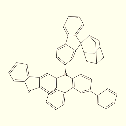 c1ccc(-c2ccc(N(c3ccc4c(c3)C3(c5ccccc5-4)C4CC5CC(C4)CC3C5)c3ccc4sc5ccccc5c4c3)c(-c3ccccc3)c2)cc1